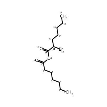 CCCCCCC(=O)OC(=O)C(Br)CCCCC